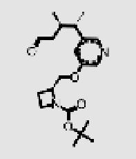 C[C@H](CC=O)[C@H](C)c1cncc(OC[C@@H]2CCN2C(=O)OC(C)(C)C)c1